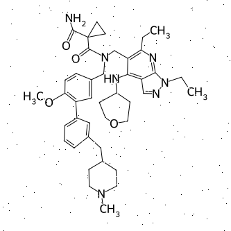 CCc1nc2c(cnn2CC)c(NC2CCOCC2)c1CN(Cc1ccc(OC)c(-c2cccc(CC3CCN(C)CC3)c2)c1)C(=O)C1(C(N)=O)CC1